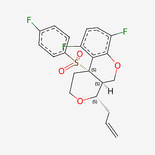 C=CC[C@@H]1OCC[C@@]2(S(=O)(=O)c3ccc(F)cc3)c3c(F)ccc(F)c3OC[C@@H]12